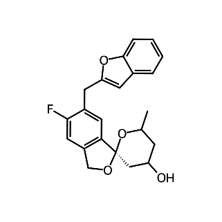 CC1CC(O)C[C@@]2(OCc3cc(F)c(Cc4cc5ccccc5o4)cc32)O1